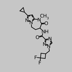 CN1C(=O)C(NC(=O)c2ncn(CC3CC(F)(F)C3)n2)CCn2nc(C3CC3)cc21